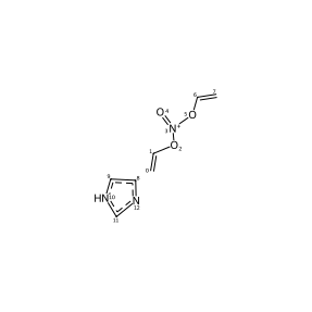 C=CO[N+](=O)OC=C.c1c[nH]cn1